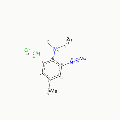 CSc1ccc(N(C)C)c([N+]#N)c1.Cl.[Cl-].[Zn]